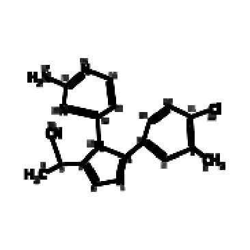 Cc1cc(-c2ncc(C(C)C#N)n2-c2ccnc(N)n2)ccc1Cl